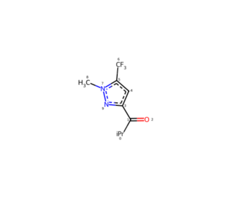 CC(C)C(=O)c1cc(C(F)(F)F)n(C)n1